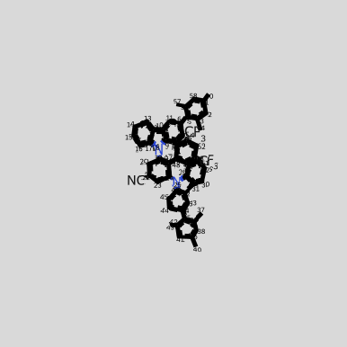 Cc1cc(C)c(-c2ccc3c(c2)c2ccccc2n3-c2cc(C#N)cc(-n3c4ccccc4c4cc(-c5c(C)cc(C)cc5C)ccc43)c2-c2cc(C(F)(F)F)cc(C(F)(F)F)c2)c(C)c1